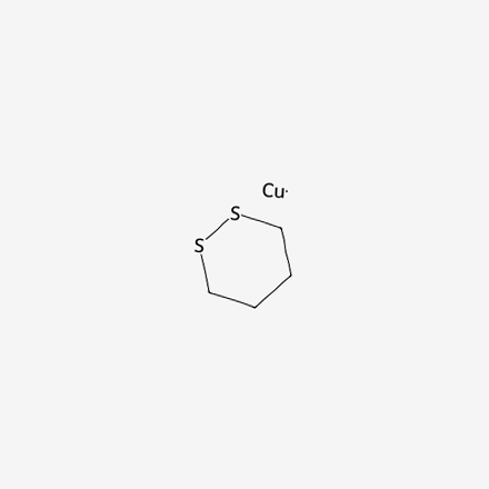 C1CCSSC1.[Cu]